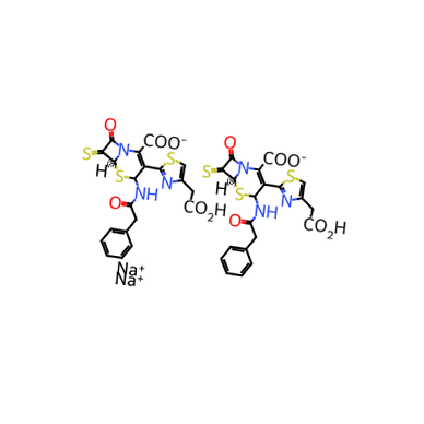 O=C(O)Cc1csc(C2=C(C(=O)[O-])N3C(=O)C(=S)[C@@H]3SC2NC(=O)Cc2ccccc2)n1.O=C(O)Cc1csc(C2=C(C(=O)[O-])N3C(=O)C(=S)[C@@H]3SC2NC(=O)Cc2ccccc2)n1.[Na+].[Na+]